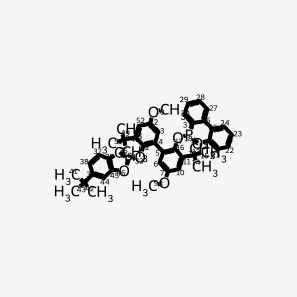 COc1cc(-c2cc(OC)cc(C(C)(C)C)c2OP2Oc3ccccc3-c3ccccc32)c(OP2Oc3ccc(C(C)(C)C)cc3O2)c(C(C)(C)C)c1